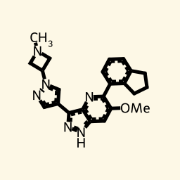 COc1cc2[nH]nc(-c3cnn(C4CN(C)C4)c3)c2nc1-c1cccc2c1CCC2